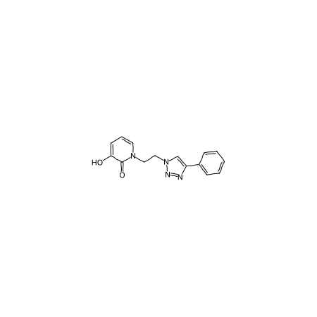 O=c1c(O)cccn1CCn1cc(-c2ccccc2)nn1